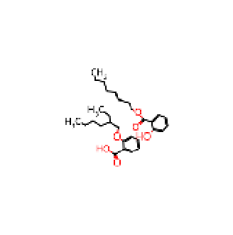 CCCCC(CC)COc1ccccc1C(=O)O.CCCCCCCCOC(=O)c1ccccc1O